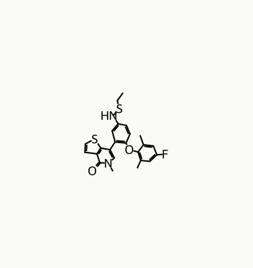 CCSNc1ccc(Oc2c(C)cc(F)cc2C)c(-c2cn(C)c(=O)c3ccsc23)c1